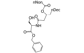 CCCCCCCCCCC[C@H](CC(=O)N[C@H](CO)C(=O)OCc1ccccc1)OC(=O)CCCCCCCCC